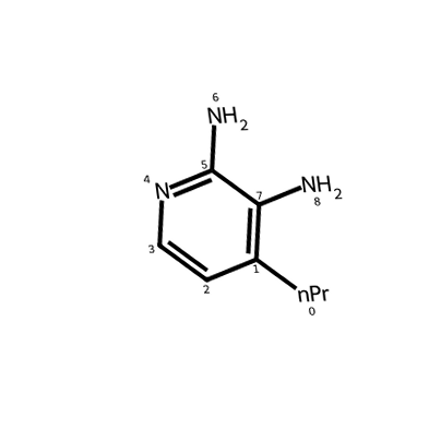 CCCc1ccnc(N)c1N